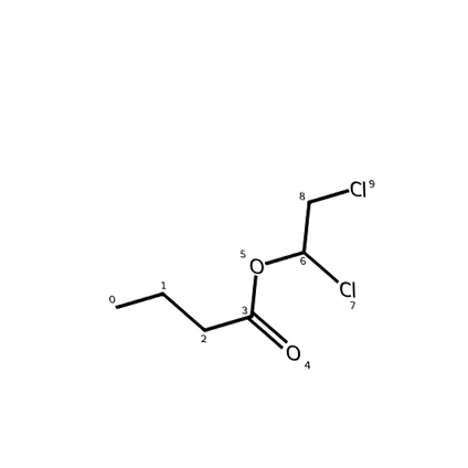 CCCC(=O)OC(Cl)CCl